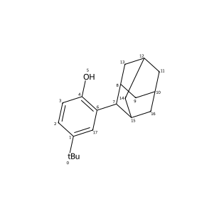 CC(C)(C)c1ccc(O)c(C2C3CC4CC(C3)CC2C4)c1